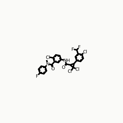 CN(C(=O)c1cc(NC(=O)C2C(c3ccc(Cl)c(C(F)F)c3)C2(Cl)Cl)ccc1Cl)c1ccc(F)cc1